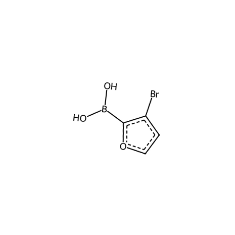 OB(O)c1occc1Br